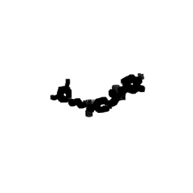 Cc1cc(-c2nc(CN3CCC(C(=O)NCCCN4C[C@H](C)C[C@H](C)C4)CC3)co2)ccc1F